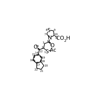 CC(=O)SC(CC(=O)N1CSC[C@H]1C(=O)O)C(=O)c1ccc2c(c1)CCC2